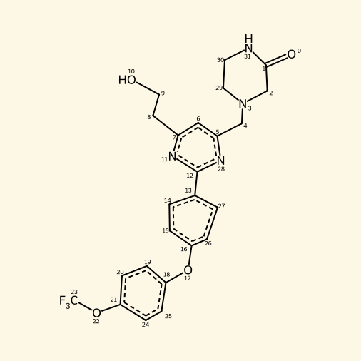 O=C1CN(Cc2cc(CCO)nc(-c3ccc(Oc4ccc(OC(F)(F)F)cc4)cc3)n2)CCN1